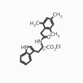 CCOC(=O)[C@H](Cc1c[nH]c2ccccc12)NC(=O)Cc1c(C)cc(C)cc1C